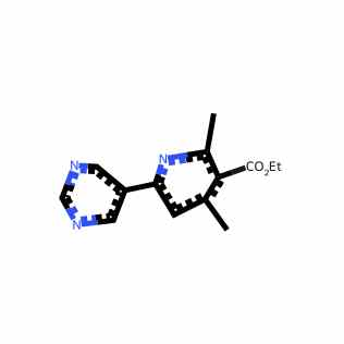 CCOC(=O)c1c(C)cc(-c2cncnc2)nc1C